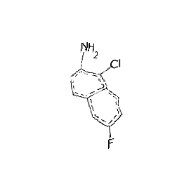 Nc1ccc2cc(F)ccc2c1Cl